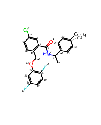 CC(NC(=O)c1cc(Cl)ccc1COc1cc(F)ccc1F)c1ccc(C(=O)O)cc1